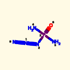 [N-]=[N+]=NP(N)(N)=O